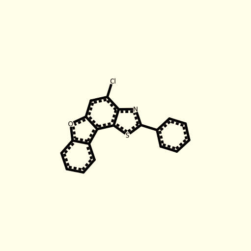 Clc1cc2oc3ccccc3c2c2sc(-c3ccccc3)nc12